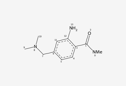 CNC(=O)c1ccc(CN(C)C)cc1N